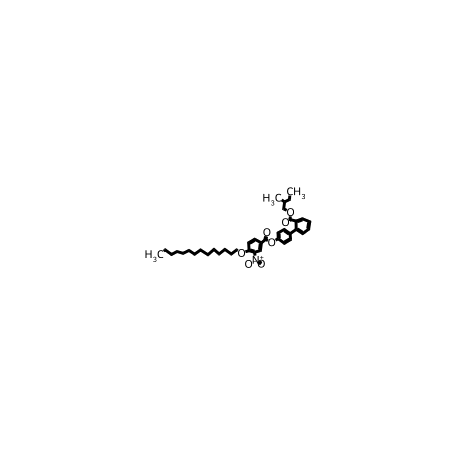 CCCCCCCCCCCCCCOc1ccc(C(=O)Oc2ccc(-c3ccccc3C(=O)OCC(C)CC)cc2)cc1[N+](=O)[O-]